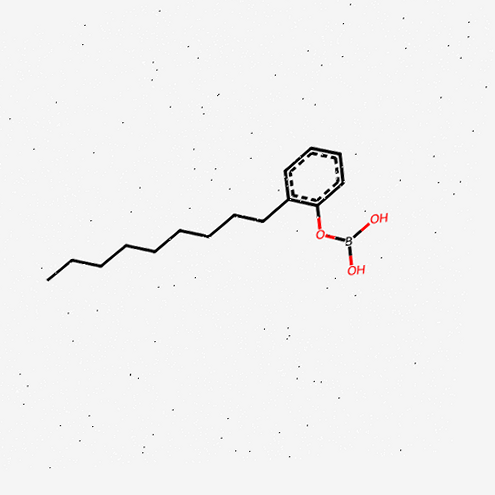 CCCCCCCCCc1ccccc1OB(O)O